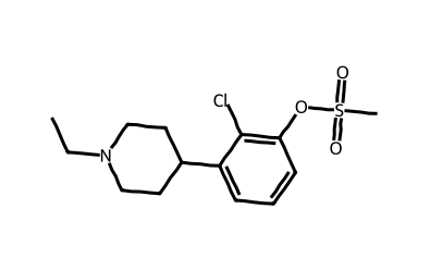 CCN1CCC(c2cccc(OS(C)(=O)=O)c2Cl)CC1